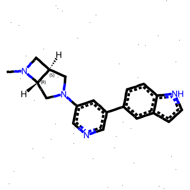 CN1C[C@H]2CN(c3cncc(-c4ccc5[nH]ccc5c4)c3)C[C@@H]21